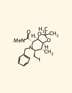 CNC(=O)[C@@H]1[C@H]2OC(C)(C)O[C@H]2[C@H](C)[C@@H](CI)N1Cc1ccccc1